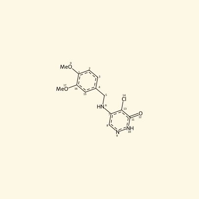 COc1ccc(CNc2cn[nH]c(=O)c2Cl)cc1OC